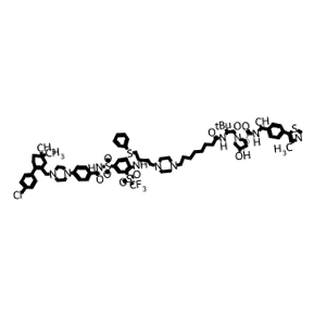 Cc1ncsc1-c1ccc([C@H](C)NC(=O)[C@@H]2C[C@@H](O)CN2C(=O)C(NC(=O)CCCCCCCN2CCN(CCC(CSc3ccccc3)Nc3ccc(S(=O)(=O)NC(=O)c4ccc(N5CCN(CC6=C(c7ccc(Cl)cc7)CCC(C)(C)C6)CC5)cc4)cc3S(=O)(=O)C(F)(F)F)CC2)C(C)(C)C)cc1